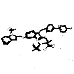 CC(=O)N1c2ccccc2CC1COc1ccc2c(Cc3ccc(-c4ccc(F)cn4)cc3)c(CC(C)(C)C(=O)O)n(CC(C)(C)C)c2c1